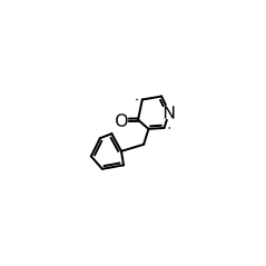 O=C1[CH]C=N[C]=C1Cc1ccccc1